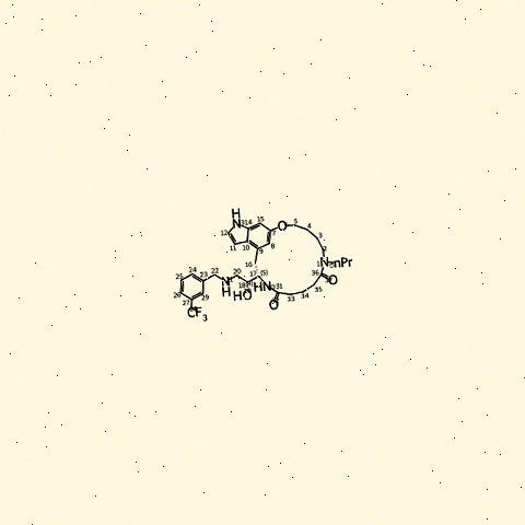 CCCN1CCCCOc2cc(c3cc[nH]c3c2)C[C@@H]([C@H](O)CNCc2cccc(C(F)(F)F)c2)NC(=O)CCCC1=O